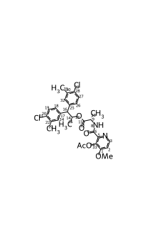 COc1ccnc(C(=O)N[C@@H](C)C(=O)O[C@@H](C)C(c2ccc(Cl)c(C)c2)c2ccc(Cl)c(C)c2)c1OC(C)=O